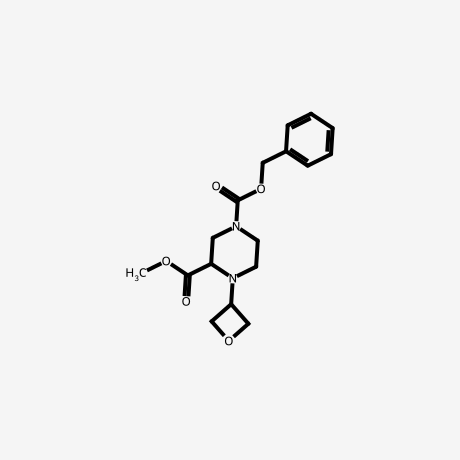 COC(=O)C1CN(C(=O)OCc2ccccc2)CCN1C1COC1